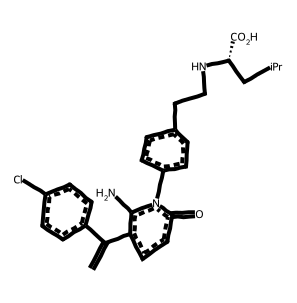 C=C(c1ccc(Cl)cc1)c1ccc(=O)n(-c2ccc(CCN[C@@H](CC(C)C)C(=O)O)cc2)c1N